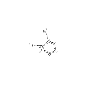 CC(C)c1ccncc1I